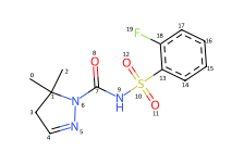 CC1(C)CC=NN1C(=O)NS(=O)(=O)c1ccccc1F